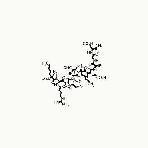 C=CCCCC(C)(NC)C(=O)N[C@@H](N[C@H](C=O)CCCNC(=N)N)C(=O)N[C@@H](N[C@H](C=O)CC(C)C)C(=O)N[C@@H](N[C@H](C=O)CC(C)C)C(=O)NC(C)(CCCC=C)C(=O)N[C@@H](CCC(=O)O)C(=O)NC(C(=O)NCC(=O)NC(CC(=O)O)C(N)=O)C(C)C